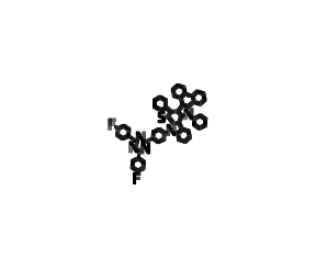 Fc1ccc(-c2nc(-c3ccc(F)cc3)nc(-c3ccc(-n4c5ccccc5c5c4c4sc6ccccc6c4c4c6c7ccccc7c7ccccc7c6n(-c6ccccc6)c45)cc3)n2)cc1